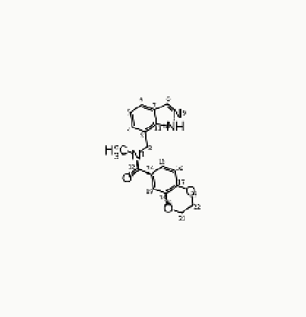 CN(Cc1cccc2cn[nH]c12)C(=O)c1ccc2c(c1)OCCO2